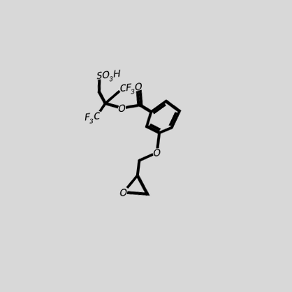 O=C(OC(CS(=O)(=O)O)(C(F)(F)F)C(F)(F)F)c1cccc(OCC2CO2)c1